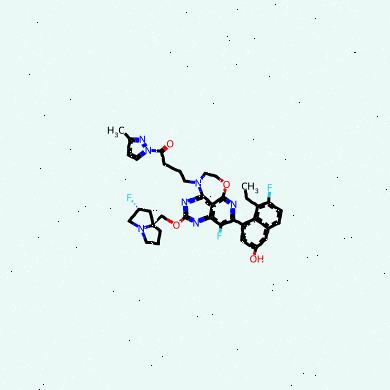 CCc1c(F)ccc2cc(O)cc(-c3nc4c5c(nc(OC[C@@]67CCCN6C[C@H](F)C7)nc5c3F)N(CCCC(=O)n3ccc(C)n3)CCO4)c12